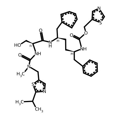 CC(C)c1ncc(CN(C)C(=O)N[C@@H](CO)C(=O)N[C@H](CC[C@H](Cc2ccccc2)NC(=O)OCc2cncs2)Cc2ccccc2)s1